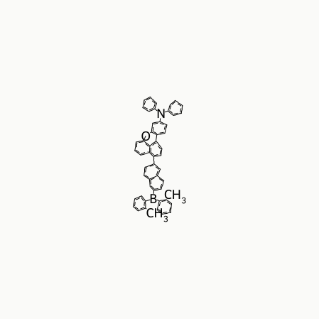 Cc1ccccc1B(c1ccc2cc(-c3ccc4c5c(cccc35)Oc3cc(N(c5ccccc5)c5ccccc5)ccc3-4)ccc2c1)c1ccccc1C